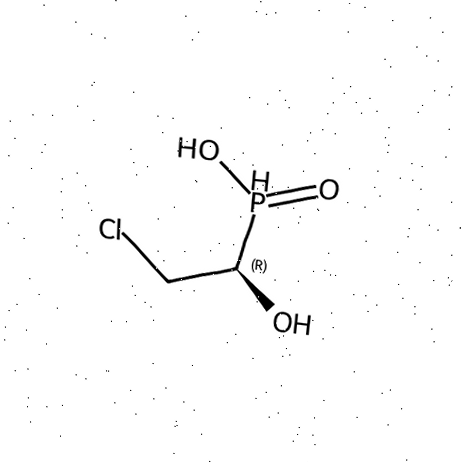 O=[PH](O)[C@@H](O)CCl